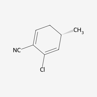 C[C@@H]1C=C(Cl)C(C#N)=CC1